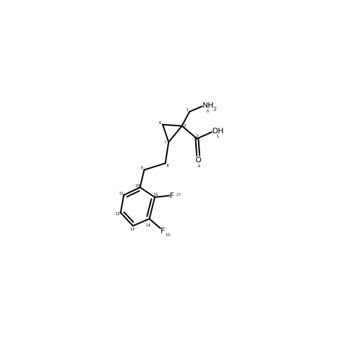 NCC1(C(=O)O)CC1CCc1cccc(F)c1F